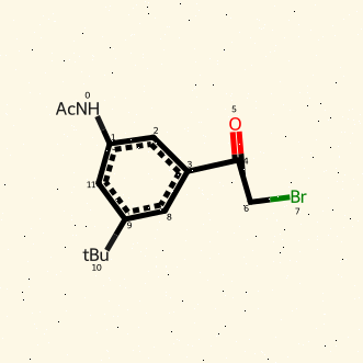 CC(=O)Nc1cc(C(=O)CBr)cc(C(C)(C)C)c1